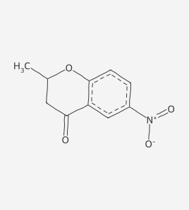 CC1CC(=O)c2cc([N+](=O)[O-])ccc2O1